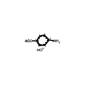 CC(C)COc1ccc(N)cc1.Cl